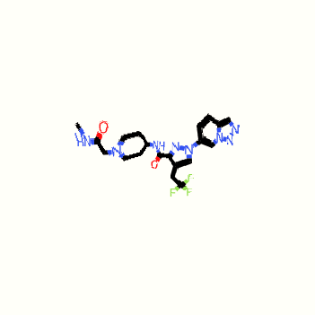 CNC(=O)CN1CCC(NC(=O)c2nn(-c3ccc4cnnn4c3)cc2CC(F)(F)F)CC1